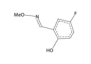 CON=Cc1cc(F)ccc1O